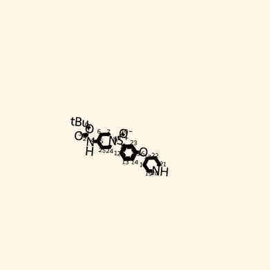 CC(C)(C)OC(=O)NC1CCN([S+]([O-])c2cccc(OC3CCNCC3)c2)CC1